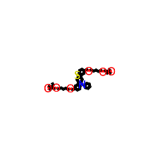 CCC1(COCCCCCOCc2ccc3c(c2)c2cc4sc5ccc(COCCCCCOCC6(C)COC6)cc5c4cc2n3-c2ccccc2)COC1